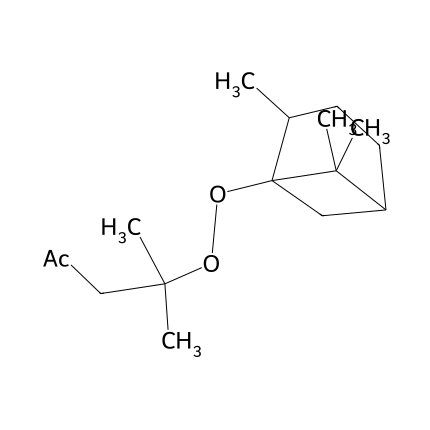 CC(=O)CC(C)(C)OOC12CC(CCC1C)C2(C)C